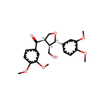 COc1ccc(C(=O)[C@H]2CO[C@H](c3ccc(OC)c(OC)c3)[C@H]2CO)cc1OC